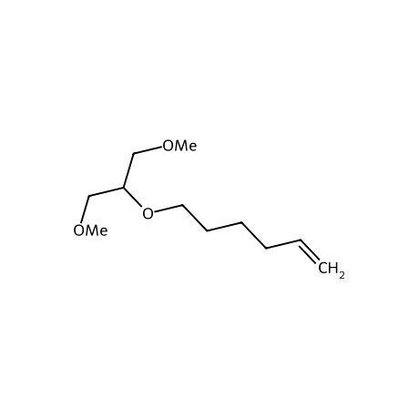 C=CCCCCOC(COC)COC